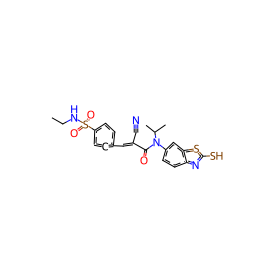 CCNS(=O)(=O)c1ccc(C=C(C#N)C(=O)N(c2ccc3nc(S)sc3c2)C(C)C)cc1